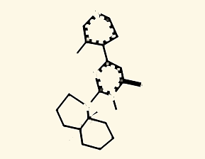 Cn1c(N2CCC[C@@H]3CCCC[C@H]32)nc(-c2ccncc2F)cc1=O